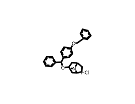 CN1C2CCC1CC(OC(c1ccccc1)c1ccc(OCc3ccccc3)cc1)C2.Cl